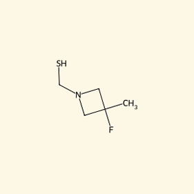 CC1(F)CN(CS)C1